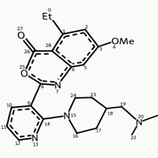 CCc1cc(OC)cc2nc(-c3cccnc3N3CCC(CN(C)C)CC3)oc(=O)c12